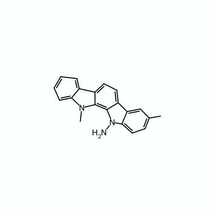 Cc1ccc2c(c1)c1ccc3c4ccccc4n(C)c3c1n2N